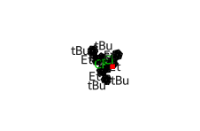 CCC1=Cc2c(ccc(CC)c2-c2cc(C(C)(C)C)cc(C(C)(C)C)c2)[CH]1[Zr]([Cl])([Cl])([c]1cccc2c1[SiH2]c1ccccc1-2)[CH]1C(CC)=Cc2c1ccc(CC)c2-c1cc(C(C)(C)C)cc(C(C)(C)C)c1